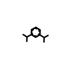 [CH2]C(C)c1cccc(C(C)C)c1